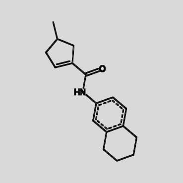 CC1CC=C(C(=O)Nc2ccc3c(c2)CCCC3)C1